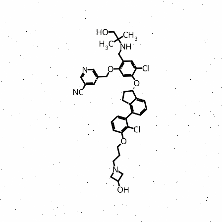 CC(C)(CO)NCc1cc(Cl)c(O[C@H]2CCc3c(-c4cccc(OCCCN5CC(O)C5)c4Cl)cccc32)cc1OCc1cncc(C#N)c1